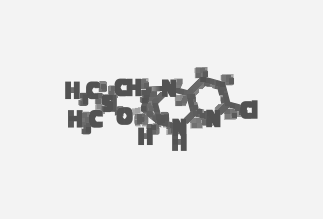 C[Si](C)(C)O[C@@H]1CN2C[C@H]1Nc1nc(Cl)ccc12